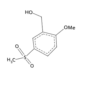 COc1ccc(S(C)(=O)=O)cc1CO